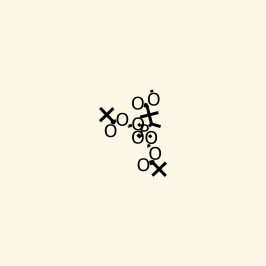 COC(=O)C(C)(C)C(C)P(=O)(OCOC(=O)C(C)(C)C)OCOC(=O)C(C)(C)C